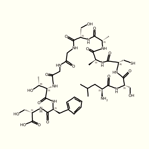 CC(C)C[C@H](N)C(=O)N[C@@H](CO)C(=O)N[C@@H](CS)C(=O)N[C@@H](C)C(=O)N[C@@H](C)C(=O)N[C@@H](CO)C(=O)NCC(=O)NCC(=O)N[C@H](C(=O)N[C@@H](Cc1ccccc1)C(=O)N[C@@H](CO)C(=O)O)[C@@H](C)O